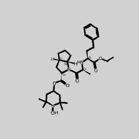 CCOC(=O)[C@H](CCc1ccccc1)N[C@@H](C)C(=O)N1[C@H](C(=O)OC2CC(C)(C)N(O)C(C)(C)C2)C[C@@H]2CCC[C@@H]21